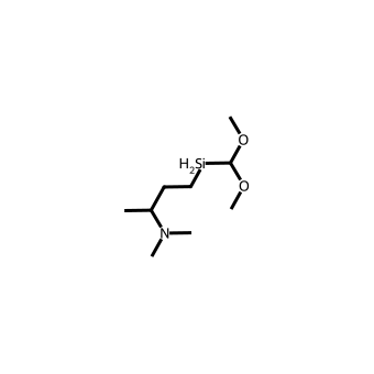 COC(OC)[SiH2]CCC(C)N(C)C